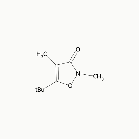 Cc1c(C(C)(C)C)on(C)c1=O